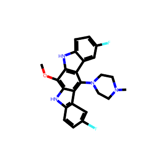 COc1c2[nH]c3ccc(F)cc3c2c(N2CCN(C)CC2)c2c1[nH]c1ccc(F)cc12